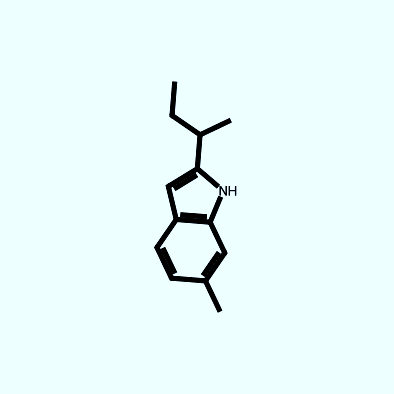 CCC(C)c1cc2ccc(C)cc2[nH]1